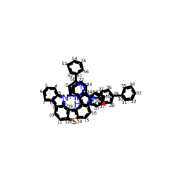 C1=C(n2c3ccccc3c3ccc4sc5ccc6c(c7ccccc7n6-c6ccc(-c7ccccc7)cc6)c5c4c32)NC(c2ccccc2)N=C1c1ccccc1